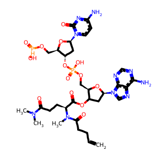 C=CCCC(=O)N(C)[C@@H](CCC(=O)N(C)C)C(=O)OC1C[C@H](n2cnc3c(N)ncnc32)O[C@@H]1COP(=O)(O)O[C@H]1C[C@H](n2ccc(N)nc2=O)O[C@@H]1CO[PH](=O)O